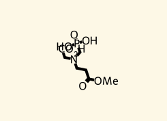 COC(=O)CCN(CC(=O)O)CP(=O)(O)O